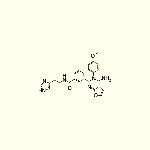 COc1ccc(N2C(N)=c3ccoc3=NC2c2cccc(C(=O)NCCc3c[nH]cn3)c2)cc1